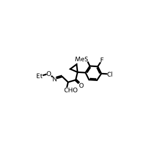 CCON=CC(C=O)C(=O)C1(c2ccc(Cl)c(F)c2SC)CC1